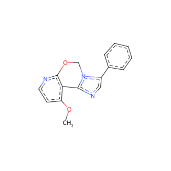 COc1ccnc2c1-c1ncc(-c3ccccc3)n1CO2